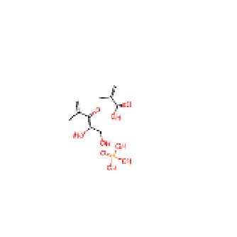 C=C(C)C(=O)C(O)CO.C=C(C)C(=O)O.O=P(O)(O)O